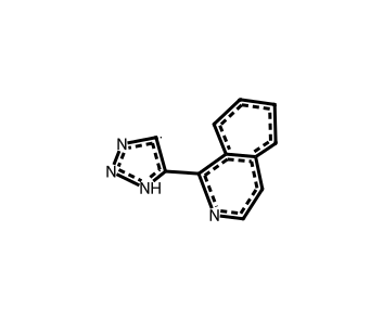 [c]1nn[nH]c1-c1nccc2ccccc12